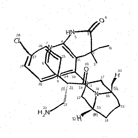 CC1(C)C(=O)Nc2ncnc(N3C[C@H]4CC[C@@H](C3)N4C(=O)[C@H](CN)c3ccc(Cl)cc3)c21